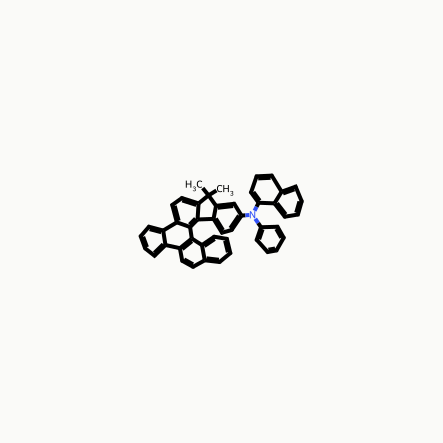 CC1(C)c2cc(N(c3ccccc3)c3cccc4ccccc34)ccc2-c2c1ccc1c3ccccc3c3ccc4ccccc4c3c21